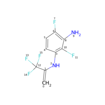 C=C(Nc1ccc(F)c(N)c1F)C(F)(F)F